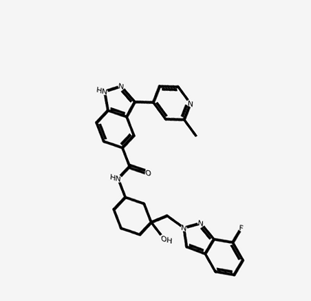 Cc1cc(-c2n[nH]c3ccc(C(=O)NC4CCCC(O)(Cn5cc6cccc(F)c6n5)C4)cc23)ccn1